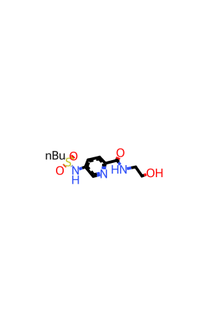 CCCCS(=O)(=O)Nc1ccc(C(=O)NCCO)nc1